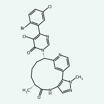 C[C@@H]1CCC[C@H](n2cnc(-c3cc(Cl)ccc3Br)c(Cl)c2=O)c2cc(ccn2)-c2c(cnn2C)NC1=O